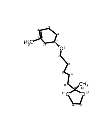 CC1=CCC[C@@H](OCCCCCC2(C)OCCO2)C1